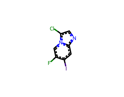 Fc1cn2c(Cl)cnc2cc1I